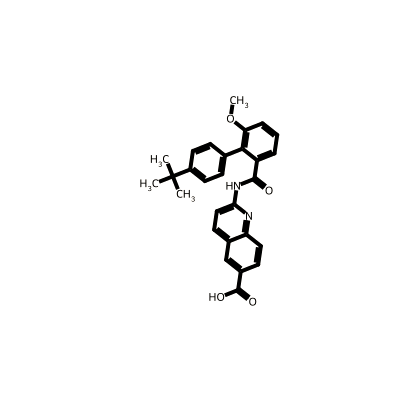 COc1cccc(C(=O)Nc2ccc3cc(C(=O)O)ccc3n2)c1-c1ccc(C(C)(C)C)cc1